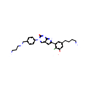 C[C@H](N)CCCc1cc(OC(F)(F)F)c(F)c(-c2cc3cn(-c4ccc([C@@H](C)NCCCN)cc4)c(=O)nc3[nH]2)c1